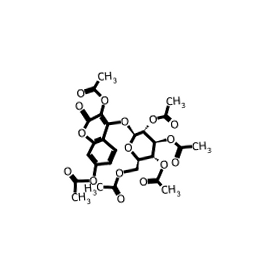 CC(=O)OC[C@H]1O[C@@H](Oc2c(OC(C)=O)c(=O)oc3cc(OC(C)=O)ccc23)[C@H](OC(C)=O)[C@@H](OC(C)=O)[C@@H]1OC(C)=O